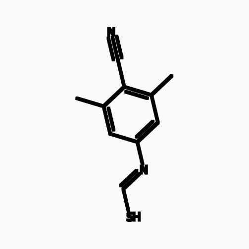 Cc1cc(N=CS)cc(C)c1C#N